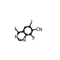 N#Cc1c(I)cc2c(I)ncnc2c1F